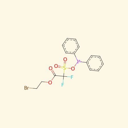 O=C(OCCBr)C(F)(F)S(=O)(=O)O[I+](c1ccccc1)c1ccccc1